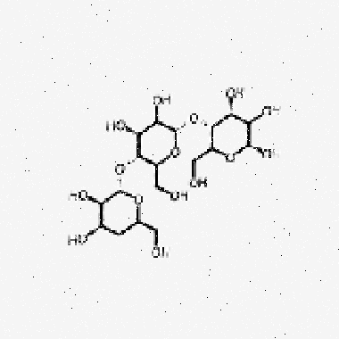 OCC1C[C@@H](O)C(O)[C@H](O[C@H]2C(CO)O[C@@H](O[C@H]3C(CO)O[C@H](O)C(O)[C@@H]3O)C(O)[C@@H]2O)O1